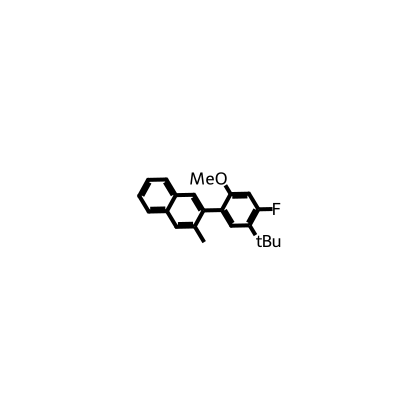 COc1cc(F)c(C(C)(C)C)cc1-c1cc2ccccc2cc1C